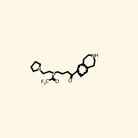 O=C(CCCN(CCN1CCCC1)C(=O)C(F)(F)F)c1ccc2c(c1)CCNCC2